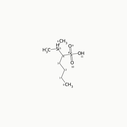 CCCCC([SiH](C)C)S(=O)(=O)O